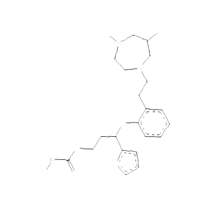 CNC(=O)OCCC(Oc1ccccc1CCN1CCN(C)CC(C)C1)c1cccs1